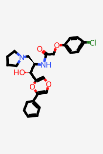 O=C(COc1ccc(Cl)cc1)N[C@H](CN1CCCC1)[C@@H](O)C1=COC=C(C2=CC=CCC2)O1